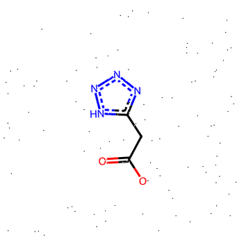 [O]C(=O)Cc1nnn[nH]1